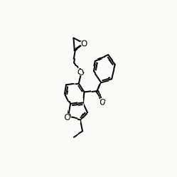 CCc1cc2c(C(=O)c3ccccc3)c(OCC3CO3)ccc2o1